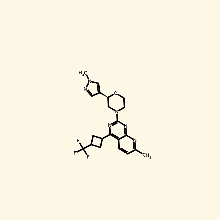 Cc1ccc2c(C3CC(C(F)(F)F)C3)nc(N3CCO[C@H](c4cnn(C)c4)C3)nc2n1